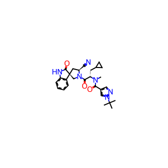 CN(C(=O)c1cnn(C(C)(C)C)c1)[C@@H](CC1CC1)C(=O)N1C[C@]2(C[C@H]1C#N)C(=O)Nc1ccccc12